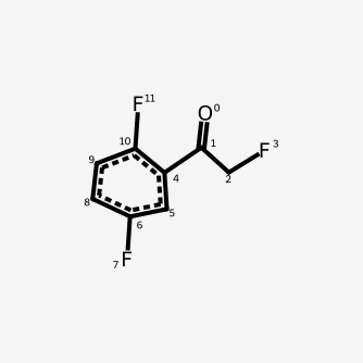 O=C(CF)c1cc(F)ccc1F